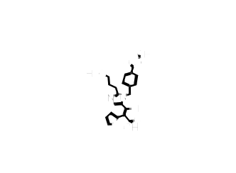 CCCCc1ncc(C(C)=C(C(=O)O)c2cccs2)n1Cc1ccc(C(=O)OC)cc1